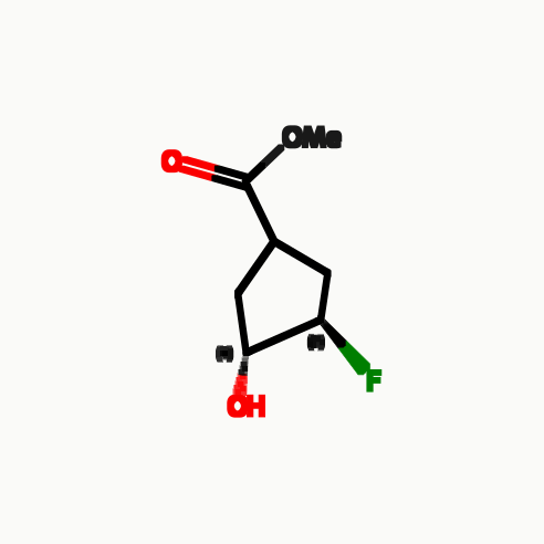 COC(=O)C1C[C@@H](O)[C@H](F)C1